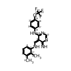 Cc1cccc(N/C=C2\C(=N)N=CN=C2Nc2ccc(OC(F)(F)F)cc2)c1C